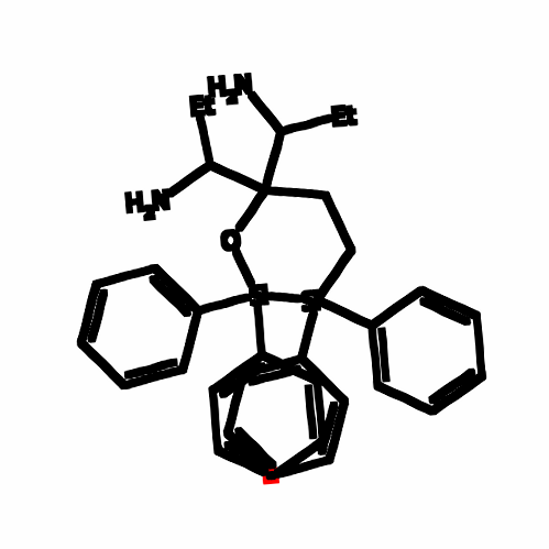 CCC(N)C1(C(N)CC)CC[Si](c2ccccc2)(c2ccccc2)[Si](c2ccccc2)(c2ccccc2)O1